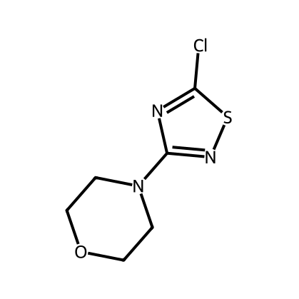 Clc1nc(N2CCOCC2)ns1